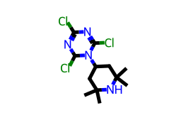 CC1(C)CC(N2C(Cl)=NC(Cl)=NC2Cl)CC(C)(C)N1